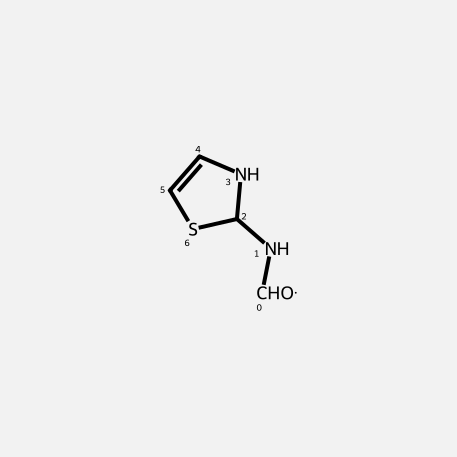 O=[C]NC1NC=CS1